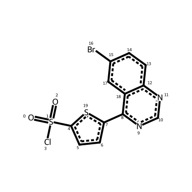 O=S(=O)(Cl)c1ccc(-c2ncnc3ccc(Br)cc23)s1